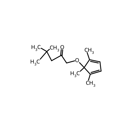 CC1=CC=C(C)C1(C)OCC(=O)CC(C)(C)C